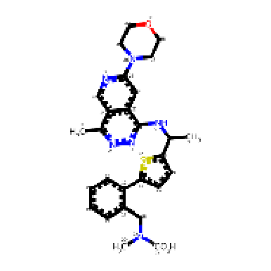 Cc1nnc(NC(C)c2ccc(-c3ccccc3CN(C)C(=O)O)s2)c2cc(N3CCOCC3)ncc12